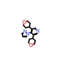 [c]1ncc(C2CCOCC2)c(-n2cccn2)c1C1CCOCC1